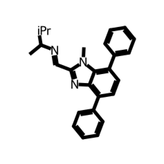 CC(C)C(C)/N=C/c1nc2c(-c3ccccc3)ccc(-c3ccccc3)c2n1C